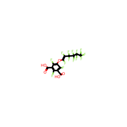 O=C(O)c1c(F)c(OC(F)=C(F)C(F)(F)C(F)(F)C(F)(F)C(F)(F)F)c(F)c(C(=O)O)c1F